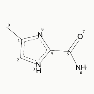 Cc1c[nH]c(C([NH])=O)n1